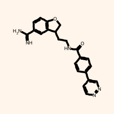 N=C(N)c1ccc2c(c1)C(CCNC(=O)c1ccc(-c3ccnnc3)cc1)CO2